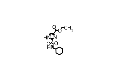 CCOC(=O)c1c[nH]c(S(=O)(=O)NC2CCCCC2)n1